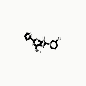 CCC1CCCN(c2nc3c(N)nc(-c4cccs4)nc3[nH]2)C1